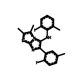 Cc1ccc(F)c(-c2nc3sc(C)c(C)n3c2Nc2c(C)cccc2I)c1